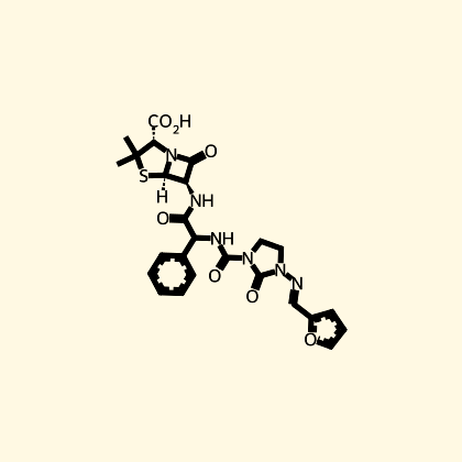 CC1(C)S[C@@H]2[C@H](NC(=O)C(NC(=O)N3CCN(N=Cc4ccco4)C3=O)c3ccccc3)C(=O)N2[C@H]1C(=O)O